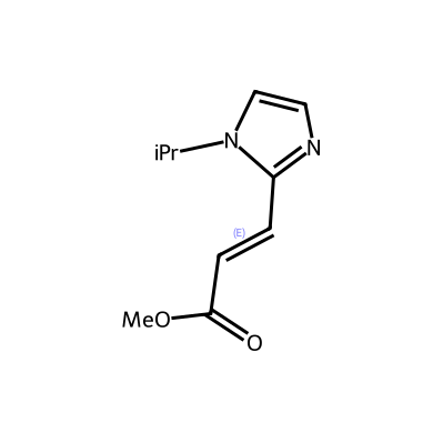 COC(=O)/C=C/c1nccn1C(C)C